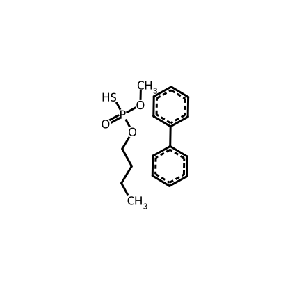 CCCCOP(=O)(S)OC.c1ccc(-c2ccccc2)cc1